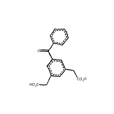 O=C(O)Cc1cc(CC(=O)O)cc(C(=O)c2ccccc2)c1